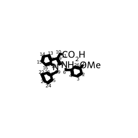 COc1cccc(CNc2c(CC(=O)O)c3ccccc3n2Cc2ccccc2)c1